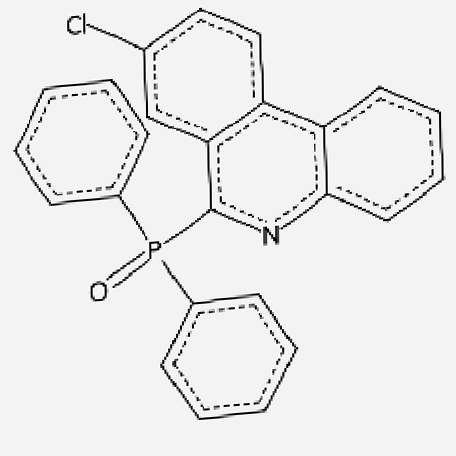 O=P(c1ccccc1)(c1ccccc1)c1nc2ccccc2c2ccc(Cl)cc12